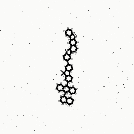 CC1(C)c2cc(-c3ccc4oc5c6cc7c(cc6ccc5c4c3)oc3ccccc37)ccc2-c2ccc(-c3c4ccccc4c(-c4cccc5ccccc45)c4ccccc34)cc21